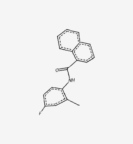 Cc1cc(F)ccc1NC(=O)c1cccc2ccccc12